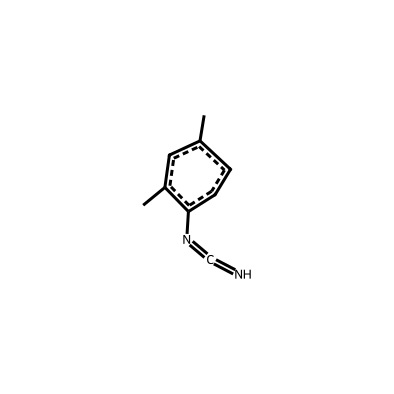 Cc1ccc(N=C=N)c(C)c1